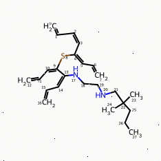 C=C/C=C\C(=C/C=C)SC(=C/C=C)/C(=C\C=C)NCCNCC(C)(C)CCC